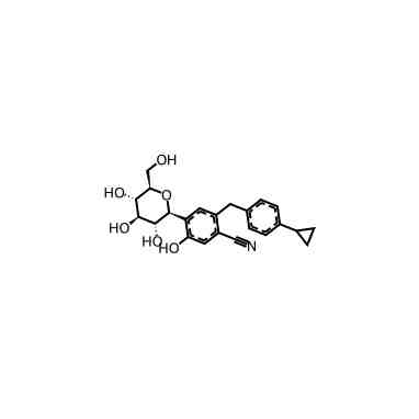 N#Cc1cc(O)c([C@@H]2O[C@H](CO)[C@@H](O)[C@H](O)[C@H]2O)cc1Cc1ccc(C2CC2)cc1